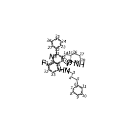 O=C(NCCCc1ccccc1)c1c(CC2CCCNC2)c(-c2ccccc2)nc2c(F)cccc12